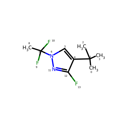 CC(C)(C)c1cn(C(C)(F)F)nc1F